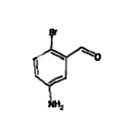 Nc1ccc(Br)c(C=O)c1